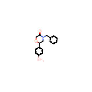 Bc1ccc(C2CN(Cc3ccccc3)C(=O)CO2)cc1